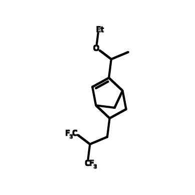 CCOC(C)C1=CC2CC1CC2CC(C(F)(F)F)C(F)(F)F